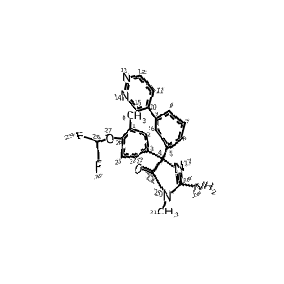 Cc1cc(C2(c3cccc(-c4ccnnc4)c3)N=C(N)N(C)C2=O)ccc1OC(F)F